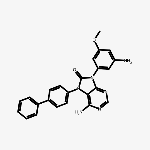 COc1cc(N)cc(-n2c(=O)n(-c3ccc(-c4ccccc4)cc3)c3c(N)ncnc32)c1